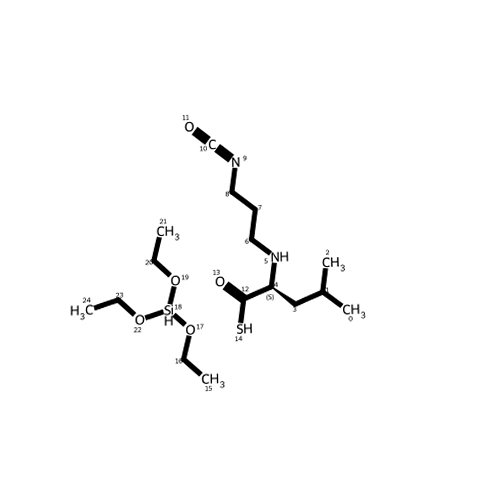 CC(C)C[C@H](NCCCN=C=O)C(=O)S.CCO[SiH](OCC)OCC